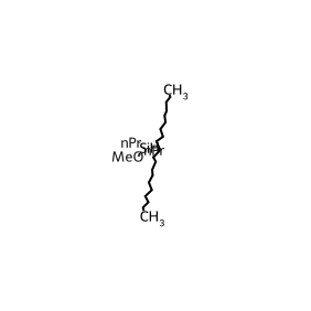 CCCCCCCCCCCCCCCCCCCC.CCC[SiH](CCC)OC